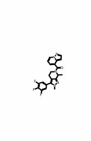 CC1c2nn(C)c(-c3cc(F)c(F)c(F)c3)c2CCN1C(=O)c1cccn2nccc12